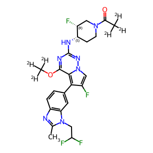 [2H]C([2H])([2H])Oc1nc(N[C@H]2CCN(C(=O)C([2H])([2H])[2H])C[C@H]2F)nn2cc(F)c(-c3ccc4nc(C)n(CC(F)F)c4c3)c12